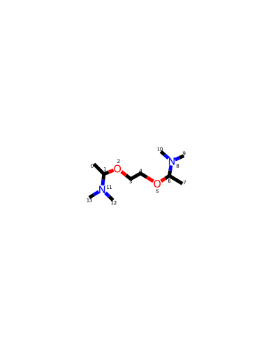 CC(OCCOC(C)N(C)C)N(C)C